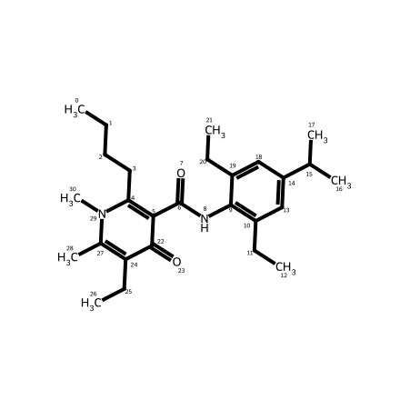 CCCCc1c(C(=O)Nc2c(CC)cc(C(C)C)cc2CC)c(=O)c(CC)c(C)n1C